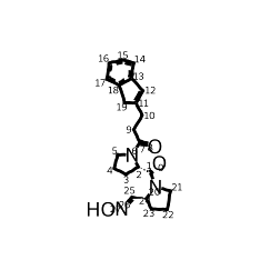 O=C([C@@H]1CCCN1C(=O)CCC1=Cc2ccccc2C1)N1CCC[C@H]1C=NO